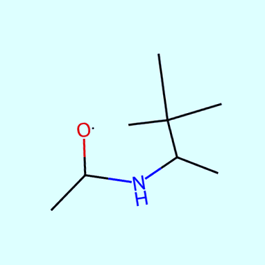 CC([O])NC(C)C(C)(C)C